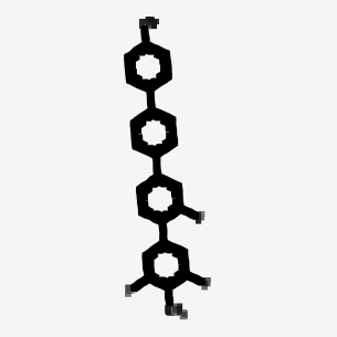 CCCc1ccc(-c2ccc(-c3ccc(-c4cc(F)c(C)c(F)c4)c(F)c3)cc2)cc1